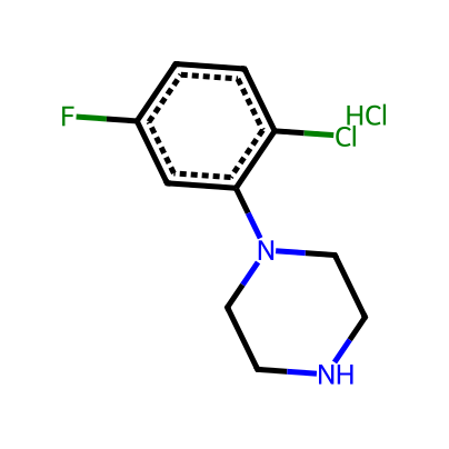 Cl.Fc1ccc(Cl)c(N2CCNCC2)c1